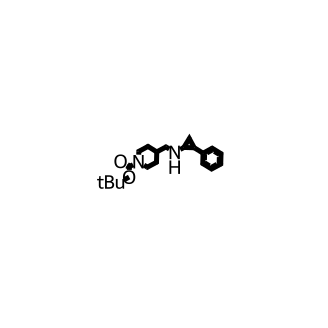 CC(C)(C)OC(=O)N1CCC(CNC2CC2c2ccccc2)CC1